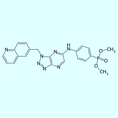 COP(=O)(OC)c1ccc(Nc2cnc3nnn(Cc4ccc5ncccc5c4)c3n2)cc1